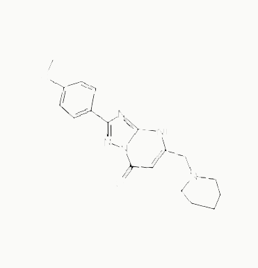 COc1ccc(-c2nc3[nH]c(CN4CCCCC4)cc(=O)n3n2)cc1